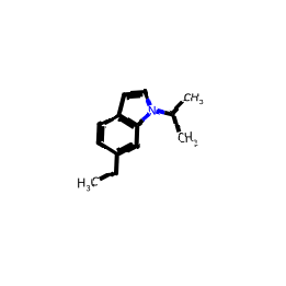 CCc1ccc2ccn(C(C)C)c2c1